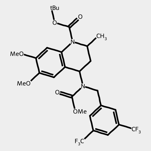 COC(=O)N(Cc1cc(C(F)(F)F)cc(C(F)(F)F)c1)C1CC(C)N(C(=O)OC(C)(C)C)c2cc(OC)c(OC)cc21